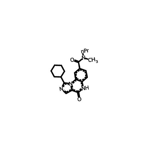 CCCN(C)C(=O)c1ccc2[nH]c(=O)c3cnc(C4CCCCC4)n3c2c1